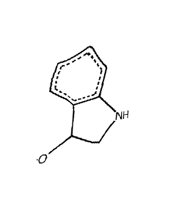 [O]C1CNc2ccccc21